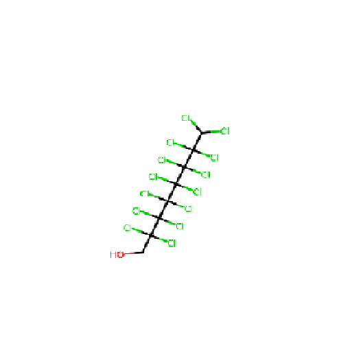 OCC(Cl)(Cl)C(Cl)(Cl)C(Cl)(Cl)C(Cl)(Cl)C(Cl)(Cl)C(Cl)(Cl)C(Cl)Cl